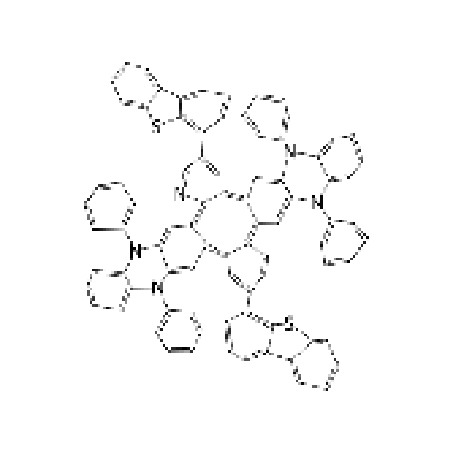 c1ccc(-n2c3ccccc3n(-c3ccccc3)c3cc4c(cc32)c2ccc(-c3cccc5c3sc3ccccc35)cc2c2cc3c(cc2c2ncc(-c5cccc6c5sc5ccccc56)cc42)n(-c2ccccc2)c2ccccc2n3-c2ccccc2)cc1